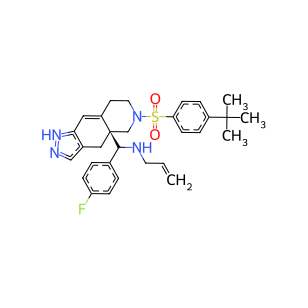 C=CCNC(c1ccc(F)cc1)[C@@]12Cc3cn[nH]c3C=C1CCN(S(=O)(=O)c1ccc(C(C)(C)C)cc1)C2